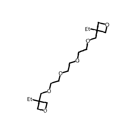 CCC1(COCCOCCOCCOCC2(CC)COC2)COC1